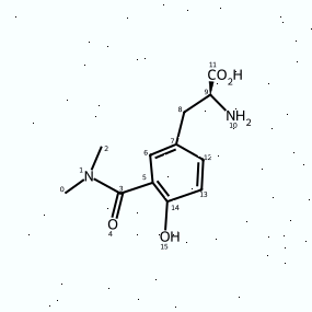 CN(C)C(=O)c1cc(C[C@H](N)C(=O)O)ccc1O